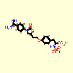 CCS(=O)(=O)NC(Cc1ccc(OCCC2CN(c3ccc(C(=N)N)cc3)C(=O)O2)cc1)C(=O)O